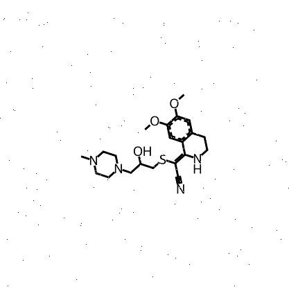 COc1cc2c(cc1OC)C(=C(C#N)SCC(O)CN1CCN(C)CC1)NCC2